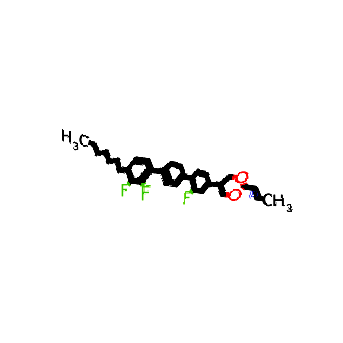 C/C=C/C1OCC(c2ccc(-c3ccc(-c4ccc(CCCCCCC)c(F)c4F)cc3)c(F)c2)CO1